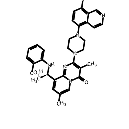 Cc1cc([C@@H](C)Nc2ccccc2C(=O)O)c2nc(N3CCN(c4ccc(C#N)c5cnccc45)CC3)c(C)c(=O)n2c1